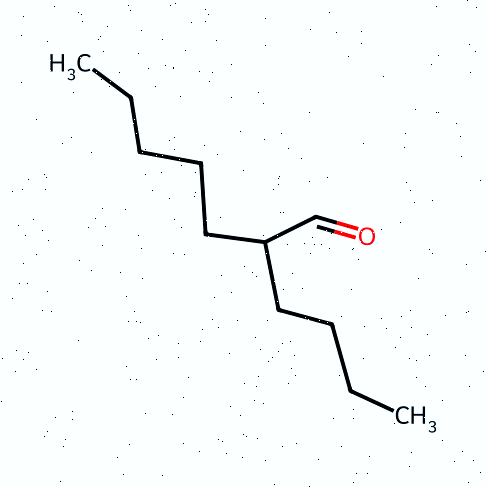 CCCCCC(C=O)CCCC